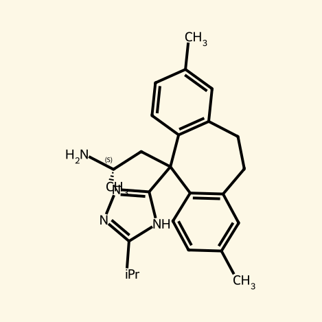 Cc1ccc2c(c1)CCc1cc(C)ccc1C2(C[C@H](C)N)c1nnc(C(C)C)[nH]1